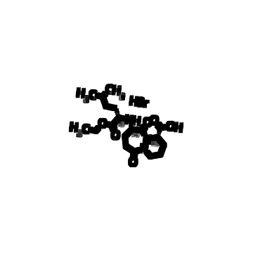 Br.CCOC(=O)[C@H](CCC(C)C)N[C@H]1CCC(=O)N2CCC[C@@H](C(=O)O)N2C1=O